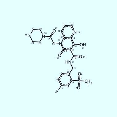 CS(=O)(=O)c1cc(F)ccc1CNC(=O)c1c(O)c2ncccc2n(CC(=O)N2CCSCC2)c1=O